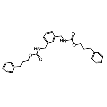 O=C(NCc1cccc(CNC(=O)OCCCc2ccccc2)c1)OCCCc1ccccc1